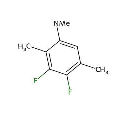 CNc1cc(C)c(F)c(F)c1C